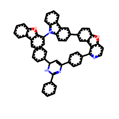 C1=C(c2ccc(-c3nccc4oc5ccc(-c6ccc7c(c6)c6ccccc6n7-c6cccc7c6oc6ccccc67)cc5c34)cc2)N=C(c2ccccc2)NC1c1ccccc1